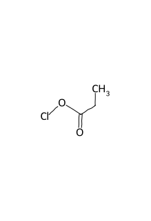 CCC(=O)OCl